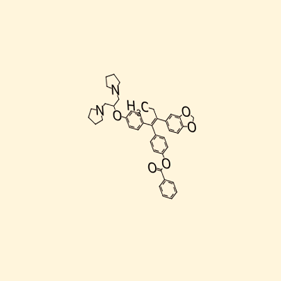 CCC(=C(c1ccc(OC(=O)c2ccccc2)cc1)c1ccc(OC(CN2CCCC2)CN2CCCC2)cc1)c1ccc2c(c1)OCO2